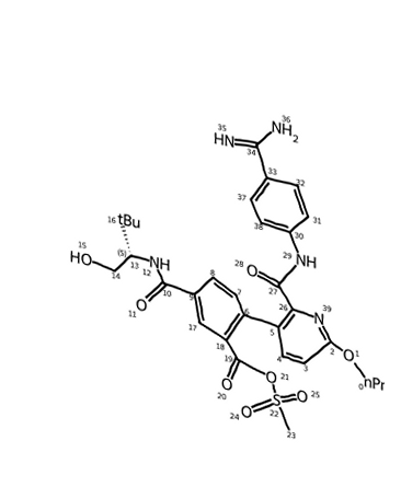 CCCOc1ccc(-c2ccc(C(=O)N[C@H](CO)C(C)(C)C)cc2C(=O)OS(C)(=O)=O)c(C(=O)Nc2ccc(C(=N)N)cc2)n1